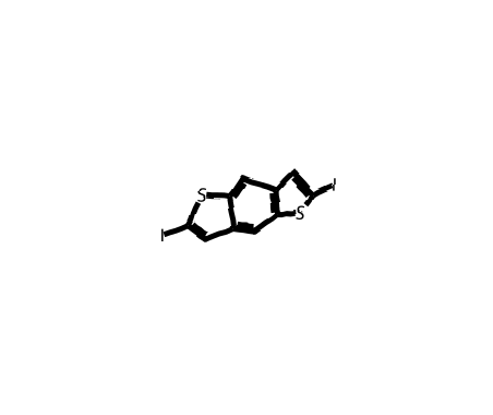 Ic1cc2cc3sc(I)cc3cc2s1